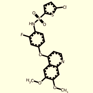 COc1cc2nccc(Oc3ccc(NS(=O)(=O)c4ccc(Cl)s4)c(F)c3)c2cc1OC